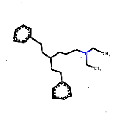 CCN(CC)CCCC(CCc1ccccc1)CCc1ccccc1